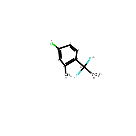 Cc1cc(Cl)ccc1C(F)(F)C(=O)O